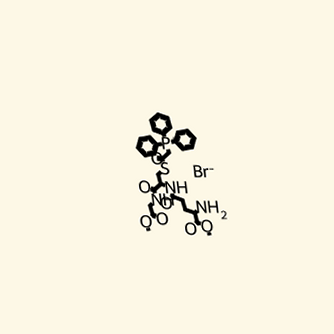 COC(=O)CNC(=O)C(CSC(=O)C[P+](c1ccccc1)(c1ccccc1)c1ccccc1)NC(=O)CCC(N)C(=O)OC.[Br-]